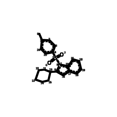 Cc1ccc(S(=O)(=O)n2c(C3CCCCC3)cc3ccccc32)cc1